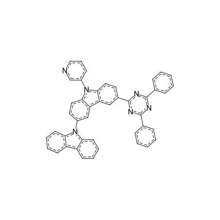 c1ccc(-c2nc(-c3ccccc3)nc(-c3ccc4c(c3)c3cc(-n5c6ccccc6c6ccccc65)ccc3n4-c3cccnc3)n2)cc1